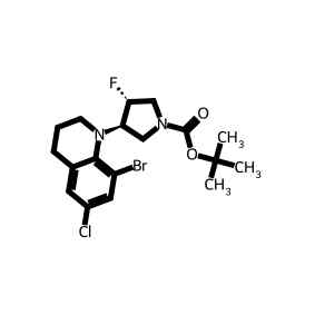 CC(C)(C)OC(=O)N1C[C@@H](F)[C@H](N2CCCc3cc(Cl)cc(Br)c32)C1